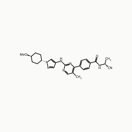 CO[C@H]1CC[C@H](n2cc(Nc3ncc(C)c(-c4ccc(C(=O)N[C@@H](C)C#N)cc4)n3)cn2)CC1